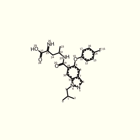 CC(C)Cn1ncc2cc(Oc3ccc(F)cc3)c(C(=O)NC(C)CC(=N)C(=O)O)cc21